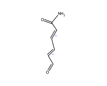 NC(=O)/C=C/C=C/C=O